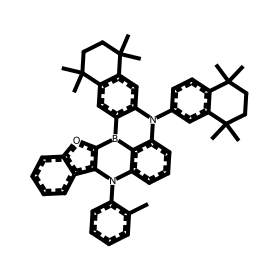 Cc1ccccc1N1c2cccc3c2B(c2cc4c(cc2N3c2ccc3c(c2)C(C)(C)CCC3(C)C)C(C)(C)CCC4(C)C)c2oc3ccccc3c21